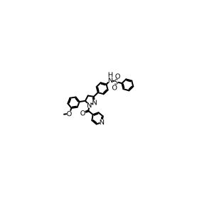 COc1cccc(C2CC(c3ccc(NS(=O)(=O)c4ccccc4)cc3)=NN2C(=O)c2ccncc2)c1